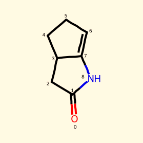 O=C1CC2CCC=C2N1